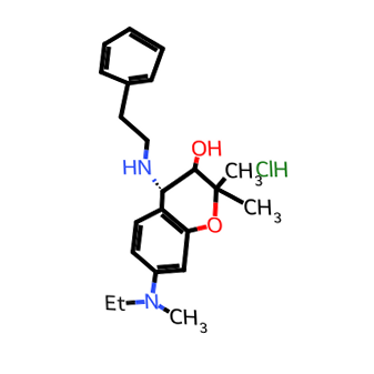 CCN(C)c1ccc2c(c1)OC(C)(C)C(O)[C@H]2NCCc1ccccc1.Cl